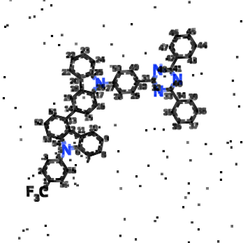 FC(F)(F)c1ccc(-n2c3ccccc3c3c(-c4ccc5c(c4)c4ccccc4n5-c4ccc(-c5nc(-c6ccccc6)nc(-c6ccccc6)n5)cc4)cccc32)cc1